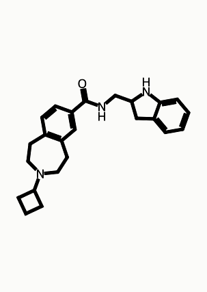 O=C(NCC1Cc2ccccc2N1)c1ccc2c(c1)CCN(C1CCC1)CC2